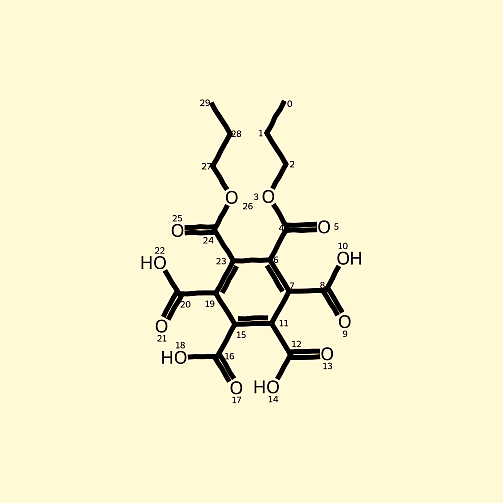 CCCOC(=O)c1c(C(=O)O)c(C(=O)O)c(C(=O)O)c(C(=O)O)c1C(=O)OCCC